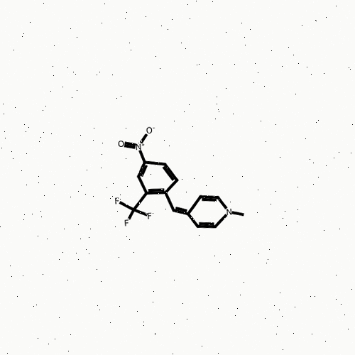 CN1C=CC(=Cc2ccc([N+](=O)[O-])cc2C(F)(F)F)C=C1